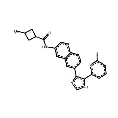 Cc1cccc(-c2[nH]cnc2-c2ccc3ncc(NC(=O)C4CC(N)C4)cc3c2)n1